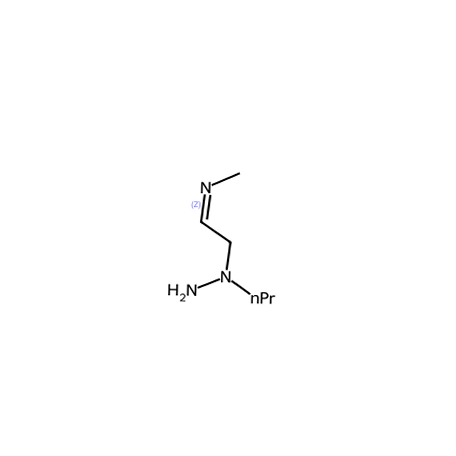 CCCN(N)C/C=N\C